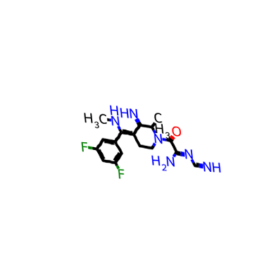 CN/C(=C1/CCN(C(=O)/C(N)=N/C=N)C(C)C1=N)c1cc(F)cc(F)c1